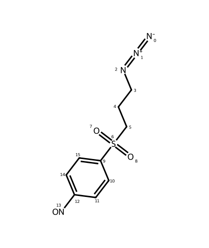 [N-]=[N+]=NCCCS(=O)(=O)c1ccc(N=O)cc1